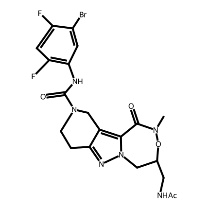 CC(=O)NCC1Cn2nc3c(c2C(=O)N(C)O1)CN(C(=O)Nc1cc(Br)c(F)cc1F)CC3